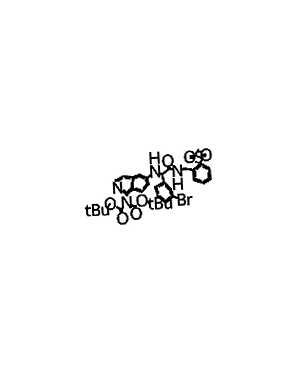 CC(C)(C)OC(=O)N(C(=O)OC(C)(C)C)c1nccc2cc(NC(C(=O)NCc3ccccc3S(C)(=O)=O)c3cccc(Br)c3)ccc12